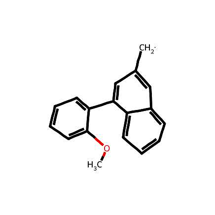 [CH2]c1cc(-c2ccccc2OC)c2ccccc2c1